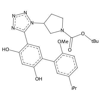 COc1ccc(C(C)C)cc1-c1cc(-c2nnnn2C2CCN(C(=O)OC(C)(C)C)C2)c(O)cc1O